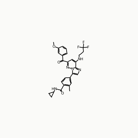 COc1cccc(C(=O)c2cc(NCCC(F)(F)F)c3ncc(-c4ccc(C(=O)NC5CC5)c(C)c4)n3n2)c1